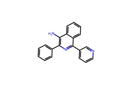 Nc1c(-c2ccccc2)nc(-c2cccnc2)c2ccccc12